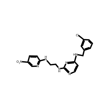 O=[N+]([O-])c1ccc(NCCNc2nccc(NCc3cccc(Cl)c3)n2)nc1